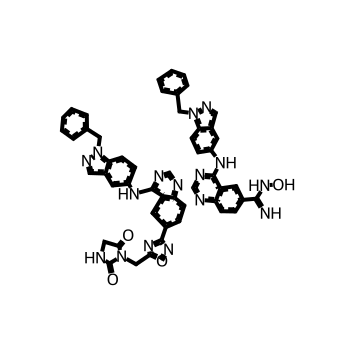 N=C(NO)c1ccc2ncnc(Nc3ccc4c(cnn4Cc4ccccc4)c3)c2c1.O=C1CNC(=O)N1Cc1nc(-c2ccc3ncnc(Nc4ccc5c(cnn5Cc5ccccc5)c4)c3c2)no1